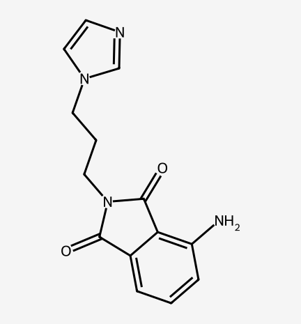 Nc1cccc2c1C(=O)N(CCCn1ccnc1)C2=O